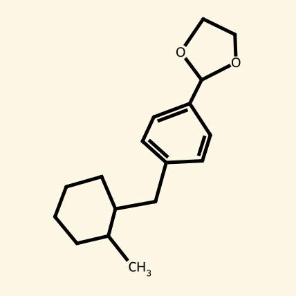 CC1CCCCC1Cc1ccc(C2OCCO2)cc1